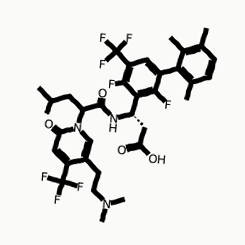 Cc1ccc(C)c(-c2cc(C(F)(F)F)c(F)c([C@H](CC(=O)O)NC(=O)C(CC(C)C)n3cc(CCN(C)C)c(C(F)(F)F)cc3=O)c2F)c1C